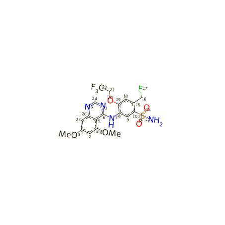 COc1cc(OC)c2c(Nc3cc(S(N)(=O)=O)c(CF)cc3OCC(F)(F)F)ncnc2c1